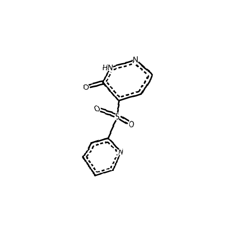 O=c1[nH]nccc1S(=O)(=O)c1ccccn1